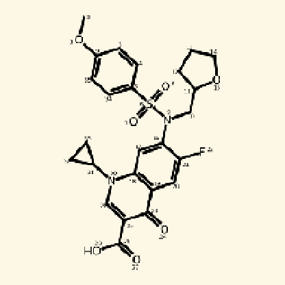 COc1ccc(S(=O)(=O)N(CC2CCCO2)c2cc3c(cc2F)c(=O)c(C(=O)O)cn3C2CC2)cc1